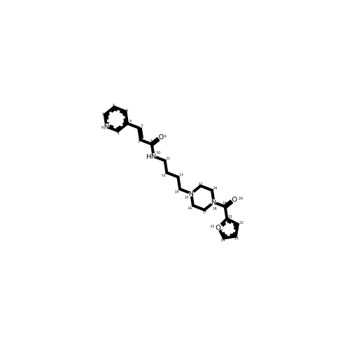 O=C(C=Cc1cccnc1)NCCCCN1CCN(C(=O)c2ccco2)CC1